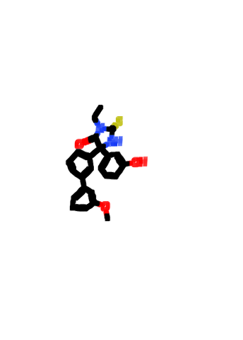 CCN1C(=O)C(c2cccc(O)c2)(c2cccc(-c3cccc(OC)c3)c2)NC1=S